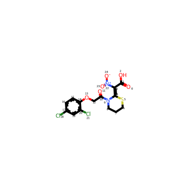 O=C(O)/C(=C1\SCCCN1C(=O)COc1ccc(Cl)cc1Cl)[N+](=O)[O-]